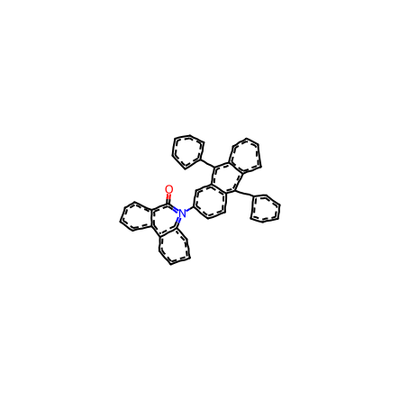 O=c1c2ccccc2c2ccccc2n1-c1ccc2c(-c3ccccc3)c3ccccc3c(-c3ccccc3)c2c1